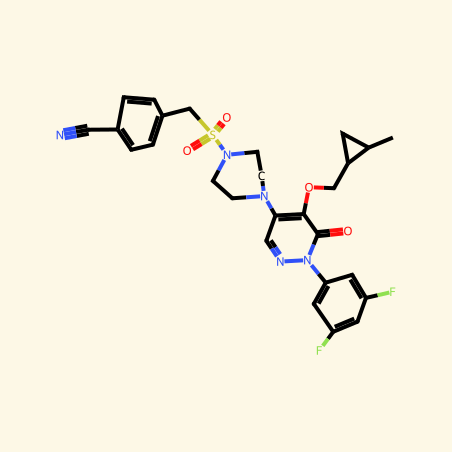 CC1CC1COc1c(N2CCN(S(=O)(=O)Cc3ccc(C#N)cc3)CC2)cnn(-c2cc(F)cc(F)c2)c1=O